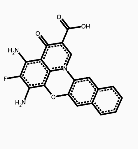 Nc1c(F)c(N)c2c(=O)c(C(=O)O)cn3c2c1Oc1cc2ccccc2cc1-3